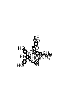 CCc1c(-c2ccc(O)cc2)c(N)nc(COCc2cn(C[C@H](O)Cn3c(C(C)(C)CO)cc4cc(NC(=O)C5(c6ccc7c(c6)OC(F)(F)O7)CC5)c(F)cc43)nn2)c1-c1ccc(O)cc1